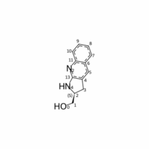 OC[C@@H]1Cc2cc3ccccc3nc2N1